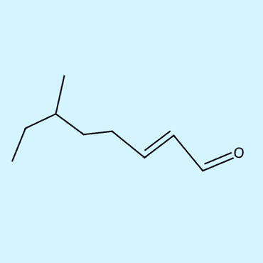 CCC(C)CCC=CC=O